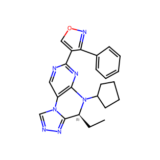 CC[C@H]1c2nncn2-c2cnc(-c3conc3-c3ccccc3)nc2N1C1CCCC1